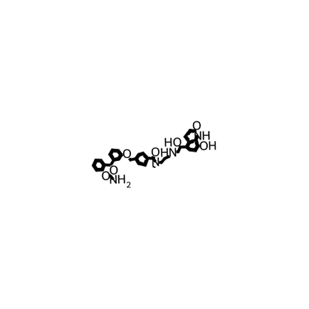 CN(CCCNC[C@@H](O)c1ccc(O)c2[nH]c(=O)ccc12)C(=O)c1ccc(COc2cccc(C(OC(N)=O)c3ccccc3)c2)cc1